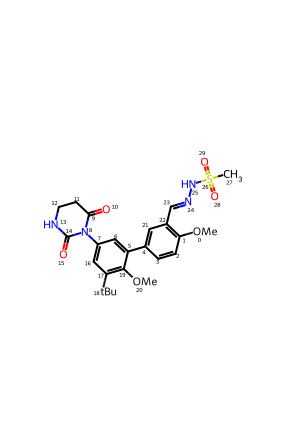 COc1ccc(-c2cc(N3C(=O)CCNC3=O)cc(C(C)(C)C)c2OC)cc1/C=N/NS(C)(=O)=O